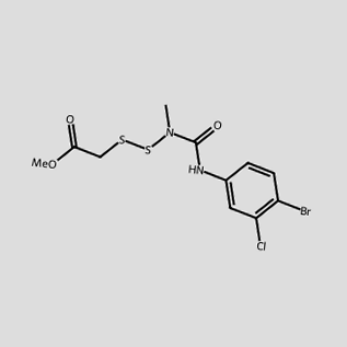 COC(=O)CSSN(C)C(=O)Nc1ccc(Br)c(Cl)c1